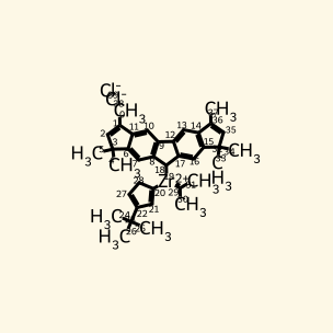 CC1=CC(C)(C)c2cc3c(cc21)-c1cc2c(cc1[CH]3[Zr+2]([C]1=CC(C(C)(C)C)=CC1)=[C](C)C)C(C)(C)C=C2C.[Cl-].[Cl-]